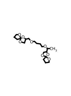 CC(OCCCCOCC1COC2(CCCO2)O1)C1COC2(CCCO2)O1